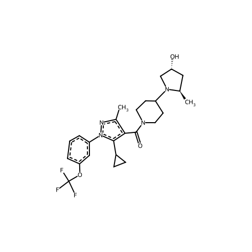 Cc1nn(-c2cccc(OC(F)(F)F)c2)c(C2CC2)c1C(=O)N1CCC(N2C[C@H](O)C[C@H]2C)CC1